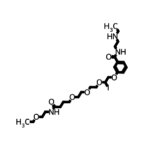 CCNCCNC(=O)c1cccc(OCC(I)OCCOCCOCCCC(=O)NCCOCC)c1